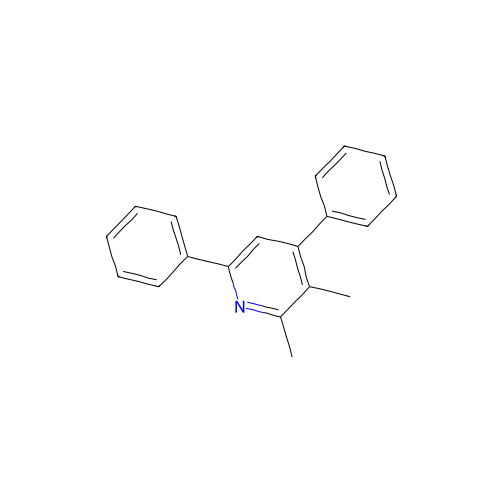 Cc1nc(-c2ccccc2)cc(-c2ccccc2)c1C